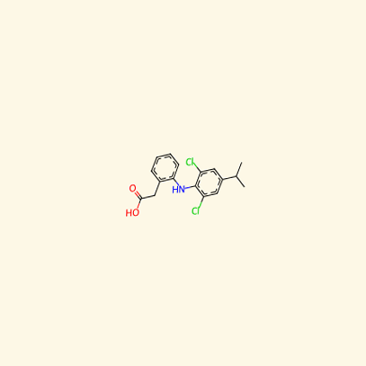 CC(C)c1cc(Cl)c(Nc2ccccc2CC(=O)O)c(Cl)c1